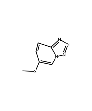 CSc1ccc2nnnn2c1